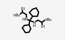 CCCCC(CC)CNC(NCC(CC)CCCC)(C1CCCCC1)C1CCCCC1